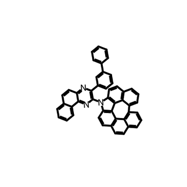 c1ccc(-c2cccc(-c3nc4ccc5ccccc5c4nc3-n3c4ccc5cccc6c5c4c4c5c(ccc7cccc-6c75)ccc43)c2)cc1